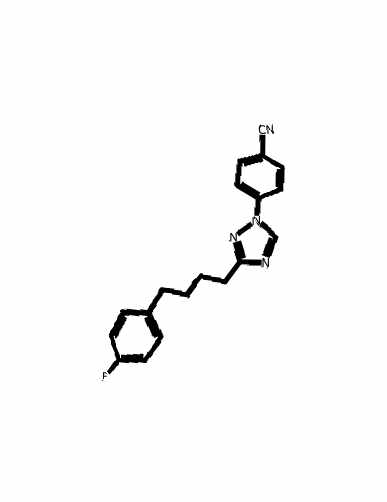 N#Cc1ccc(-n2cnc(CCCCc3ccc(F)cc3)n2)cc1